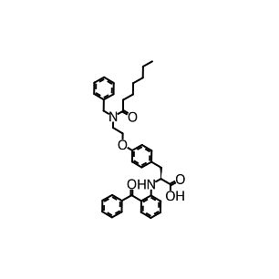 CCCCCCC(=O)N(CCOc1ccc(C[C@H](Nc2ccccc2C(=O)c2ccccc2)C(=O)O)cc1)Cc1ccccc1